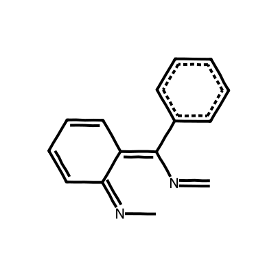 C=N/C(=C1/C=CC=C/C1=N/C)c1ccccc1